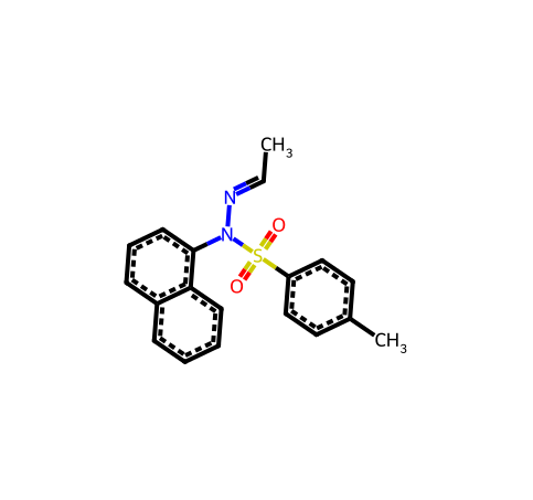 CC=NN(c1cccc2ccccc12)S(=O)(=O)c1ccc(C)cc1